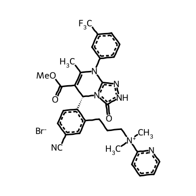 COC(=O)C1=C(C)N(c2cccc(C(F)(F)F)c2)c2n[nH]c(=O)n2[C@@H]1c1ccc(C#N)cc1CCC[N+](C)(C)c1ccccn1.[Br-]